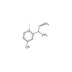 C=C[C](C)c1cc(C#N)ccc1F